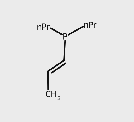 CC=CP(CCC)CCC